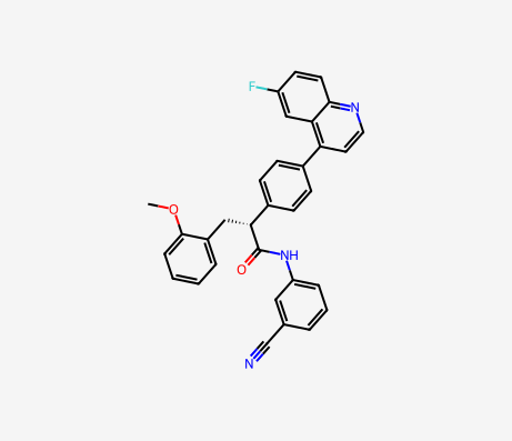 COc1ccccc1C[C@@H](C(=O)Nc1cccc(C#N)c1)c1ccc(-c2ccnc3ccc(F)cc23)cc1